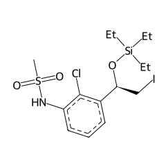 CC[Si](CC)(CC)O[C@@H](CI)c1cccc(NS(C)(=O)=O)c1Cl